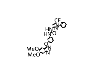 COc1cc2ncnc(Oc3cccc(NC(=O)Nc4cc(C(F)(F)F)n(-c5ccccc5)n4)c3)c2cc1OC